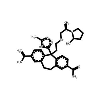 C=C(N)c1ccc2c(c1)CCc1cc(C(N)=O)ccc1C2(CCNCC(=C)N1CCCC1C#N)c1nnc(C)[nH]1